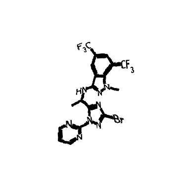 CC(Nc1nn(C)c2c(C(F)(F)F)cc(C(F)(F)F)cc12)c1nc(Br)nn1-c1ncccn1